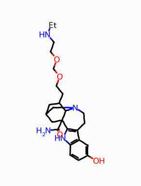 CCNCCOCOCCC1CC2CN3CCc4c([nH]c5ccc(O)cc45)C(C(N)=O)(C2)C13